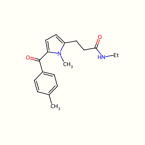 CCNC(=O)CCc1ccc(C(=O)c2ccc(C)cc2)n1C